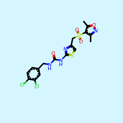 Cc1noc(C)c1S(=O)(=O)Cc1csc(NC(=O)NCc2ccc(Cl)c(Cl)c2)n1